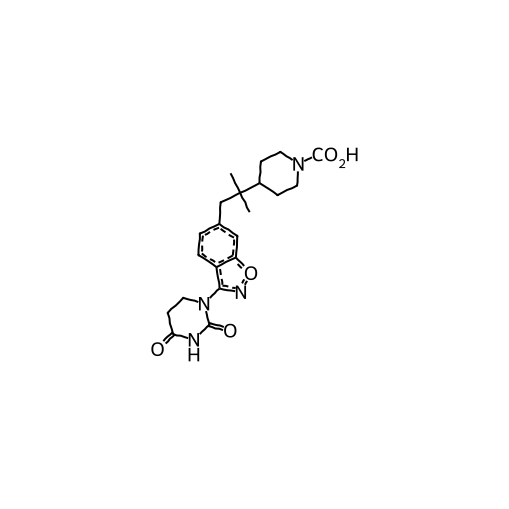 CC(C)(Cc1ccc2c(N3CCC(=O)NC3=O)noc2c1)C1CCN(C(=O)O)CC1